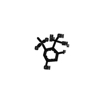 BC(B)(O)c1c(F)cc(O)cc1S(C)(=O)=O